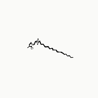 CCCCCCCCCCCCCCCCC[N+](C)(C)CCN1CCC(C)C1=O